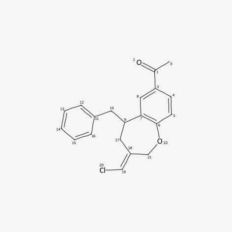 CC(=O)c1ccc2c(c1)C(Cc1ccccc1)CC(=CCl)CO2